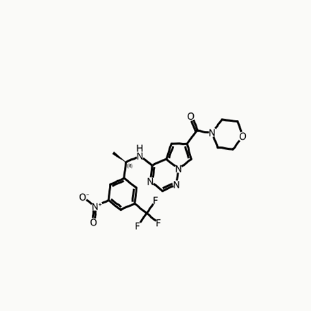 C[C@@H](Nc1ncnn2cc(C(=O)N3CCOCC3)cc12)c1cc([N+](=O)[O-])cc(C(F)(F)F)c1